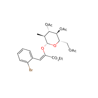 CCOC(=O)/C(=C/c1ccccc1Br)O[C@H]1O[C@@H](COC(C)=O)[C@H](OC(C)=O)[C@@H](OC(C)=O)[C@@H]1C